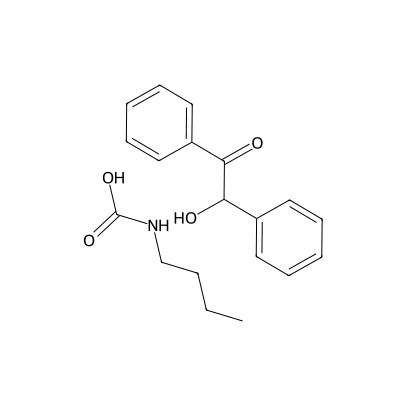 CCCCNC(=O)O.O=C(c1ccccc1)C(O)c1ccccc1